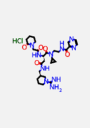 Cl.N=C(N)N1CCC[C@@H](CNC(=O)C[C@H](NC(=O)CN2CCCCC2=O)C(=O)N(CCNC(=O)c2cnccn2)C2CC2)C1